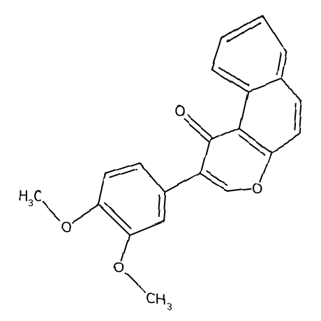 COc1ccc(-c2coc3ccc4ccccc4c3c2=O)cc1OC